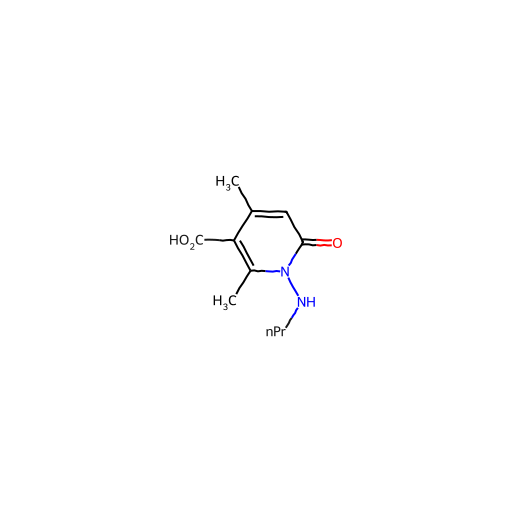 CCCNn1c(C)c(C(=O)O)c(C)cc1=O